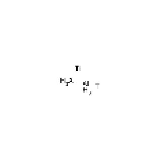 [AlH3].[AlH3].[Ti].[Ti]